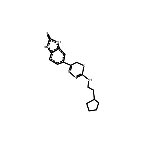 O=c1[nH]c2ccc(C3=NN=C(NCCC4CCCC4)SC3)cc2[nH]1